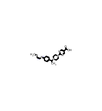 C=N/C=C\N=C1\C=CC(C(C)N2CCN(c3ncc(C(=O)O)cn3)CC2)=CC1